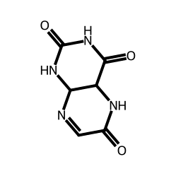 O=C1C=NC2NC(=O)NC(=O)C2N1